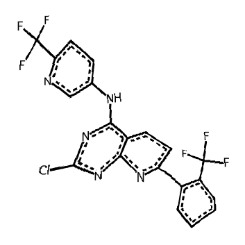 FC(F)(F)c1ccc(Nc2nc(Cl)nc3nc(-c4ccccc4C(F)(F)F)ccc23)cn1